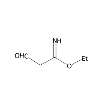 CCOC(=N)CC=O